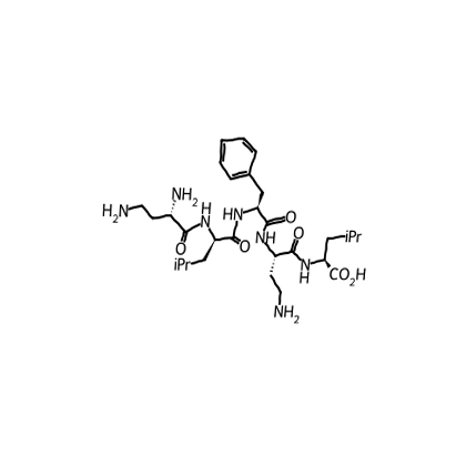 CC(C)C[C@H](NC(=O)[C@H](CCN)NC(=O)[C@H](Cc1ccccc1)NC(=O)[C@@H](CC(C)C)NC(=O)[C@@H](N)CCN)C(=O)O